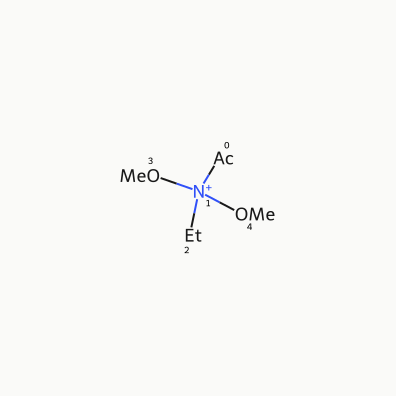 [CH2]C(=O)[N+](CC)(OC)OC